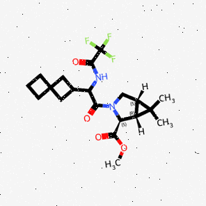 COC(=O)[C@@H]1[C@@H]2[C@H](CN1C(=O)C(NC(=O)C(F)(F)F)C1CC3(CCC3)C1)C2(C)C